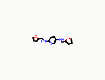 c1coc(CNc2ccc(NCc3ccco3)nc2)c1